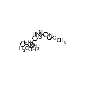 CCOc1ccc2cc(S(=O)(=O)NC3CCC(C(=O)N[C@@H](c4ccccc4)C(C)(C)O)CC3)ccc2n1